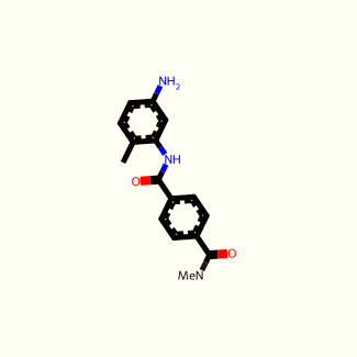 CNC(=O)c1ccc(C(=O)Nc2cc(N)ccc2C)cc1